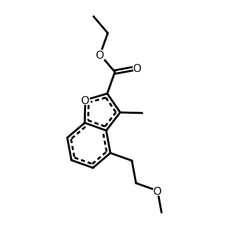 CCOC(=O)c1oc2cccc(CCOC)c2c1C